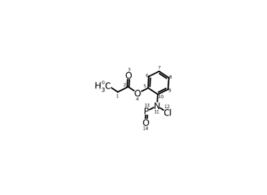 CCC(=O)Oc1ccccc1N(Cl)P=O